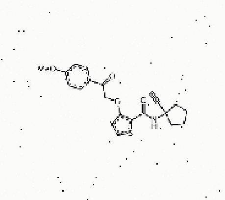 C#CC1(NC(=O)c2sccc2OCC(=O)c2ccc(OC)cc2)CCCC1